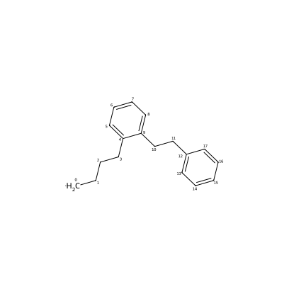 [CH2]CCCc1ccccc1CCc1ccccc1